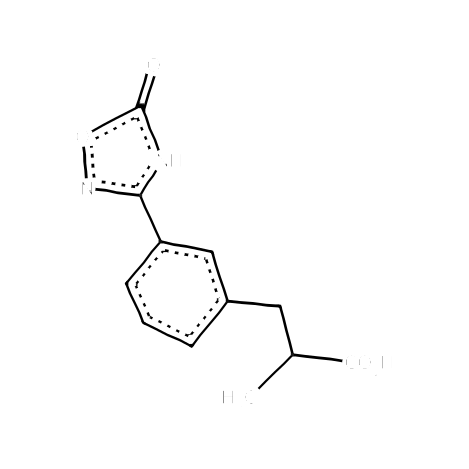 CC(Cc1cccc(-c2noc(=O)[nH]2)c1)C(=O)O